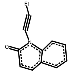 CCC#Cn1c(=O)ccc2ccccc21